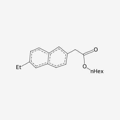 CCCCCCOC(=O)Cc1ccc2cc(CC)ccc2c1